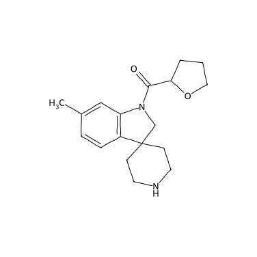 Cc1ccc2c(c1)N(C(=O)C1CCCO1)CC21CCNCC1